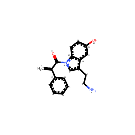 C=C(C(=O)n1cc(CCN)c2cc(O)ccc21)c1ccccc1